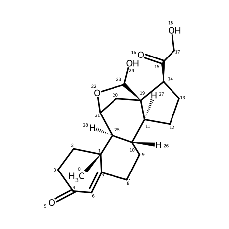 C[C@]12CCC(=O)C=C1[CH]C[C@H]1[C@@H]3CC[C@H](C(=O)CO)[C@@]34CC(OC4O)[C@@H]12